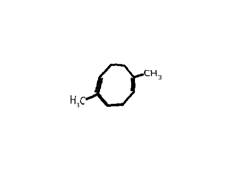 C/C1=C/CC/C(C)=C\CC1